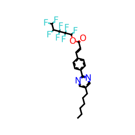 CCCCCCc1cnc(-c2ccc(C=CC(=O)OC(F)C(F)(F)C(F)(F)C(F)C(F)F)cc2)nc1